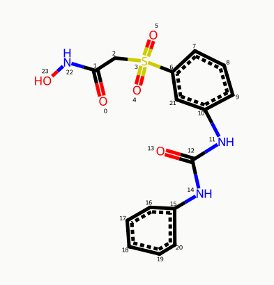 O=C(CS(=O)(=O)c1cccc(NC(=O)Nc2ccccc2)c1)NO